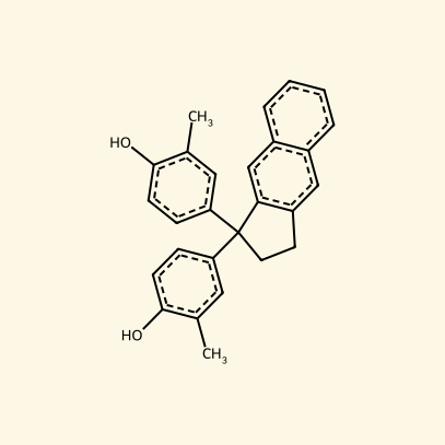 Cc1cc(C2(c3ccc(O)c(C)c3)CCc3cc4ccccc4cc32)ccc1O